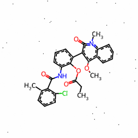 CCC(=O)Oc1c(NC(=O)c2c(C)cccc2Cl)cccc1-c1c(OC)c2ccccc2n(C)c1=O